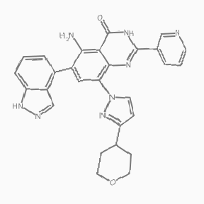 Nc1c(-c2cccc3[nH]ncc23)cc(-n2ccc(C3CCOCC3)n2)c2nc(-c3cccnc3)[nH]c(=O)c12